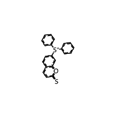 S=c1ccc2ccc([S+](c3ccccc3)c3ccccc3)cc2o1